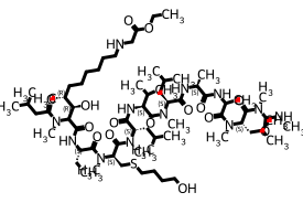 CCOC(=O)CNCCCCCC[C@@H](C)[C@@H](O)C(C(=O)N[C@@H](CC)C(=O)N(C)[C@H](CSCCCCO)C(=O)N(C)[C@@H](CC(C)C)C(=O)N[C@H](C(=O)N(C)[C@@H](CC(C)C)C(=O)N[C@@H](C)C(=O)NC(C)C(=O)N(C)[C@@H](CC(C)C)C(=O)N(C)C(=O)NC)C(C)C)N(C)C(=O)CC(C)C